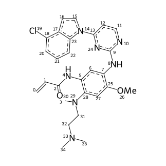 C=CC(=O)Nc1cc(Nc2nccc(-n3ccc4c(Cl)cccc43)n2)c(OC)cc1N(C)CCN(C)C